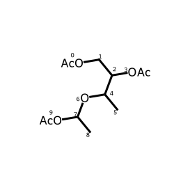 CC(=O)OCC(OC(C)=O)C(C)OC(C)OC(C)=O